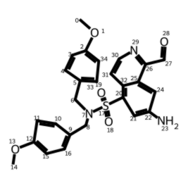 COc1ccc(CN(Cc2ccc(OC)cc2)S(=O)(=O)c2cc(N)cc3c(C=O)nccc23)cc1